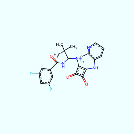 Cc1ncccc1Nc1c(NC(NC(=O)c2cc(F)cc(F)c2)C(C)(C)C)c(=O)c1=O